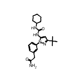 CC(C)(C)c1cc(NC(=O)NC2CCCCC2)n(-c2cccc(CC(N)=O)c2)n1